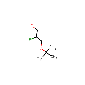 CC(C)(C)OCC(F)CO